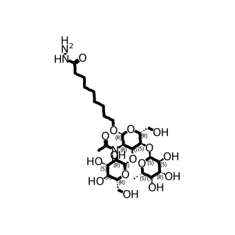 CC(=O)N[C@H]1[C@H](OCCCCCCCCC(=O)NN)O[C@H](CO)[C@@H](O[C@@H]2O[C@@H](C)[C@@H](O)[C@@H](O)[C@@H]2O)[C@@H]1O[C@@H]1O[C@H](CO)[C@H](O)[C@H](O)[C@H]1O